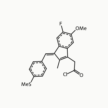 COc1cc2c(cc1F)/C(=C/c1ccc(SC)cc1)C(C)=C2CC(=O)Cl